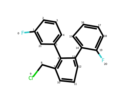 Fc1cccc(-c2c(CCl)cccc2-c2ccccc2F)c1